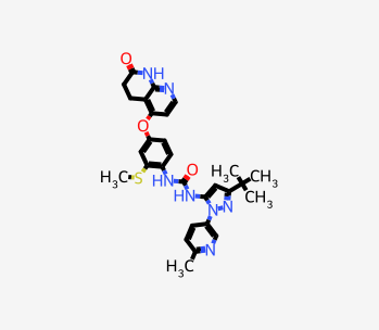 CSc1cc(Oc2ccnc3c2CCC(=O)N3)ccc1NC(=O)Nc1cc(C(C)(C)C)nn1-c1ccc(C)nc1